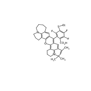 CCSc1c(F)c(F)c(C(=O)O)c(C2=c3cc4c5c(c3Oc3c2cc2c6c3CCCN6CCCC2)CCC[N+]=5C(C)(C)C=C4C)c1F